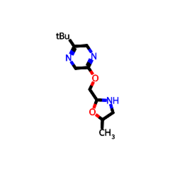 CC1CNC(COC2=NCC(C(C)(C)C)=NC2)O1